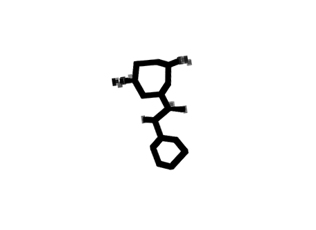 CC1CC[C@H](C)CC([C@@H](I)C(I)C2CCCCC2)C1